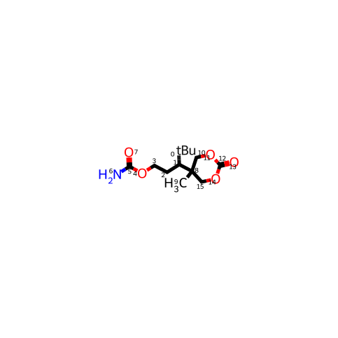 CC(C)(C)C(CCOC(N)=O)C1(C)COC(=O)OC1